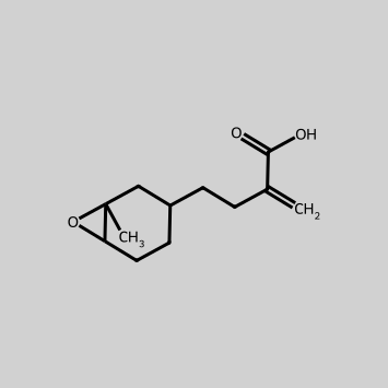 C=C(CCC1CCC2OC2(C)C1)C(=O)O